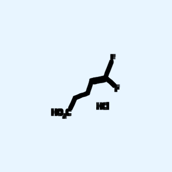 Cl.O=C(O)CCC=C(F)F